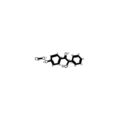 O=C(c1ccc(OOCl)cc1)C(O)c1ccccc1